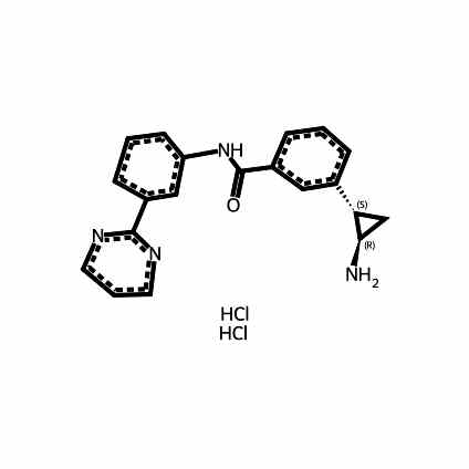 Cl.Cl.N[C@@H]1C[C@H]1c1cccc(C(=O)Nc2cccc(-c3ncccn3)c2)c1